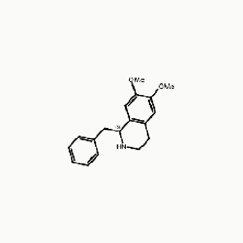 COc1cc2c(cc1OC)[C@H](Cc1ccccc1)NCC2